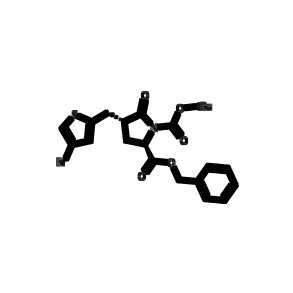 CC(C)(C)OC(=O)N1C(=O)[C@@H](Cc2cc(Br)cs2)C[C@@H]1C(=O)OCc1ccccc1